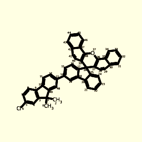 CC1(C)c2cc(Cl)ccc2-c2ccc(-c3ccc4c(c3)-c3ccccc3C43c4ccc5ccccc5c4Oc4c3ccc3ccccc43)cc21